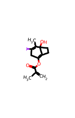 C=C(C)C(=O)OC1=C2CCC2(O)C(C)=C(I)C1